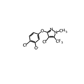 Cn1nc(Oc2ccc(Cl)c([O])c2)c(Cl)c1C(F)(F)F